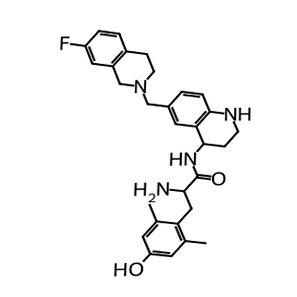 Cc1cc(O)cc(C)c1CC(N)C(=O)NC1CCNc2ccc(CN3CCc4ccc(F)cc4C3)cc21